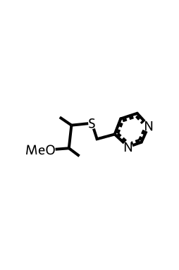 COC(C)C(C)SCc1ccncn1